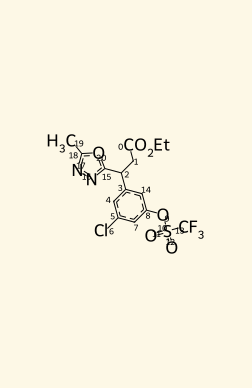 CCOC(=O)CC(c1cc(Cl)cc(OS(=O)(=O)C(F)(F)F)c1)c1nnc(C)o1